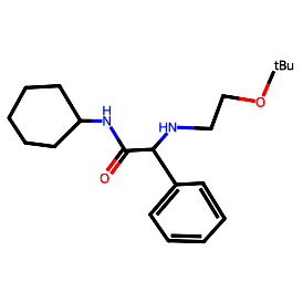 CC(C)(C)OCCNC(C(=O)NC1CCCCC1)c1ccccc1